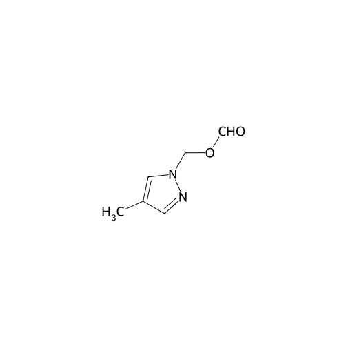 Cc1cnn(COC=O)c1